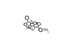 Cc1cccc(N(C2=c3c4cccc5sc(N(c6ccccc6)c6cccc(C)c6)c(c6cccc(c36)SC2)c54)c2ccccc2)c1